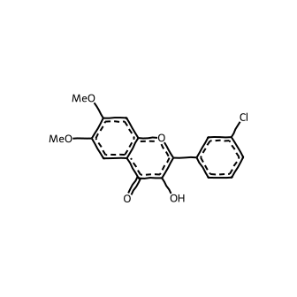 COc1cc2oc(-c3cccc(Cl)c3)c(O)c(=O)c2cc1OC